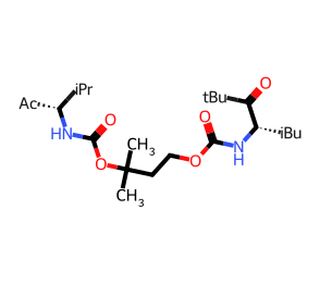 CCC(C)[C@H](NC(=O)OCCC(C)(C)OC(=O)N[C@H](C(C)=O)C(C)C)C(=O)C(C)(C)C